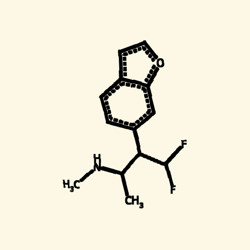 CNC(C)C(c1ccc2ccoc2c1)C(F)F